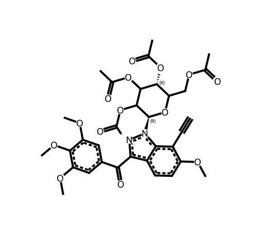 C#Cc1c(OC)ccc2c(C(=O)c3cc(OC)c(OC)c(OC)c3)nn([C@@H]3OC(COC(C)=O)[C@@H](OC(C)=O)C(OC(C)=O)C3OC(C)=O)c12